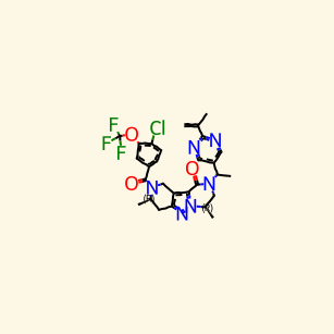 C=C(C)c1ncc(C(C)N2C[C@@H](C)n3nc4c(c3C2=O)CN(C(=O)c2ccc(Cl)c(OC(F)(F)F)c2)[C@H](C)C4)cn1